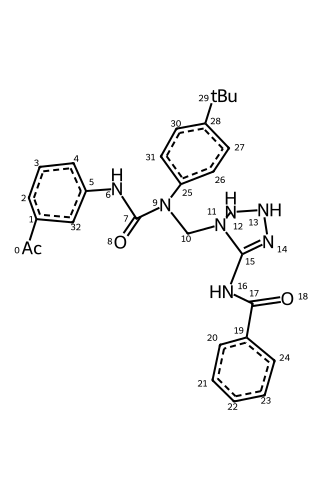 CC(=O)c1cccc(NC(=O)N(CN2NNN=C2NC(=O)c2ccccc2)c2ccc(C(C)(C)C)cc2)c1